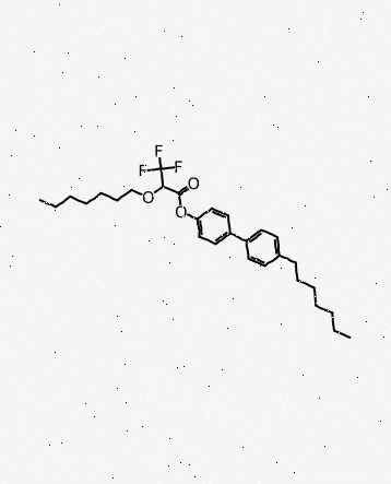 CCCCCCCOC(C(=O)Oc1ccc(-c2ccc(CCCCCCC)cc2)cc1)C(F)(F)F